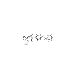 COC(=O)/C(=C\N(C)C)c1ccc(OCc2ccccc2)cc1